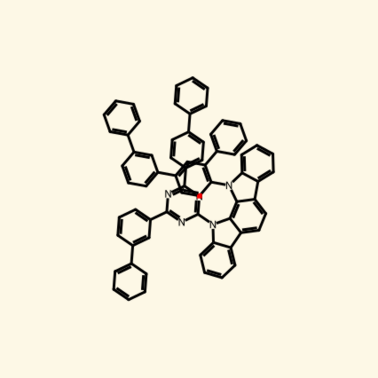 c1ccc(-c2ccc(-c3nc(-c4cccc(-c5ccccc5)c4)nc(-n4c5ccccc5c5ccc6c7ccccc7n(-c7ccc(-c8cccc(-c9ccccc9)c8)cc7-c7ccccc7)c6c54)n3)cc2)cc1